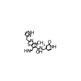 Cn1c(C(=O)NCc2cc[nH]c(=O)c2)c(C=N)c2sc(Cc3cc[nH]n3)nc21